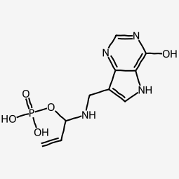 C=CC(NCc1c[nH]c2c(O)ncnc12)OP(=O)(O)O